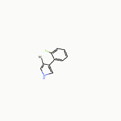 N#Cc1c[nH]cc1-c1ccccc1F